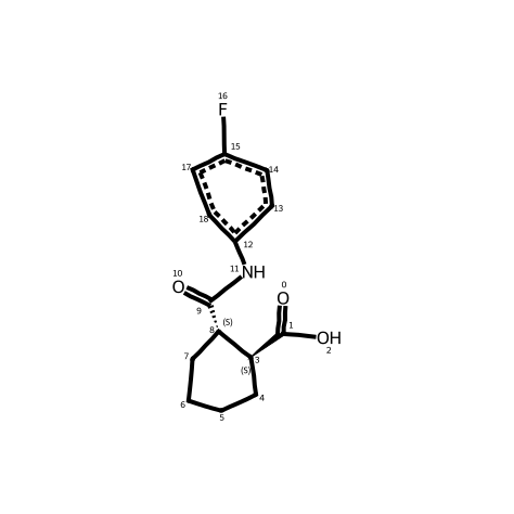 O=C(O)[C@H]1CCCC[C@@H]1C(=O)Nc1ccc(F)cc1